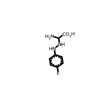 NC(NNc1ccc(F)cc1)C(=O)O